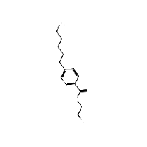 CCCCCCc1ccc(C(=O)OCCN)cc1